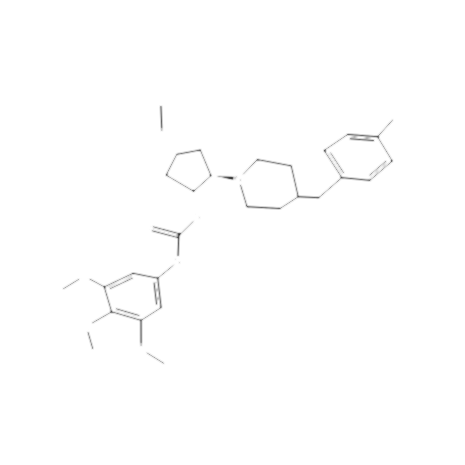 COc1cc(NC(=O)N[C@@H]2C[C@H](OC)C[C@H]2N2CCC(Cc3ccc(Cl)cc3)CC2)cc(OC)c1OC.Cl